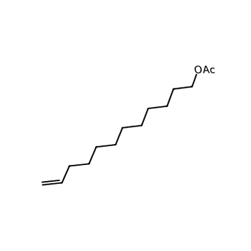 C=CCCCCCCCCCCOC(C)=O